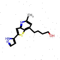 Cc1cc(CCCCO)c2sc(-c3ccn[nH]3)cc2n1